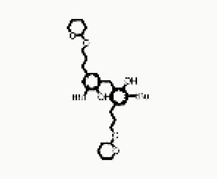 CC(C)(C)c1cc(CCCOC2CCCCO2)cc(Cc2cc(CCCOC3CCCCO3)cc(C(C)(C)C)c2O)c1O